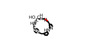 O=C(O)C1CCNCCN2CCN(CC2)Cc2cccc(c2)Nc2cc(ccn2)-c2cnc(nc2)N1